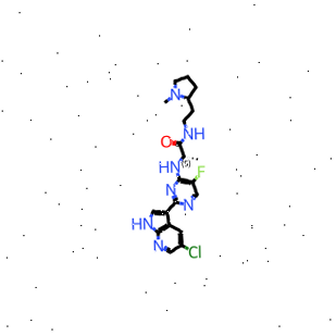 C[C@H](Nc1nc(-c2c[nH]c3ncc(Cl)cc23)ncc1F)C(=O)NCCC1CCCN1C